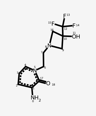 Nc1cccn(CCN2CC(O)(C(F)(F)F)C2)c1=O